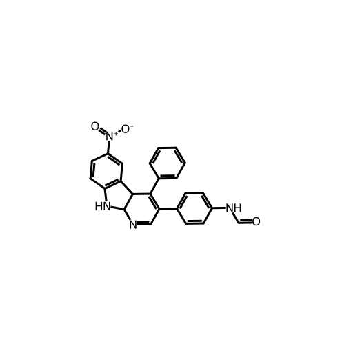 O=CNc1ccc(C2=C(c3ccccc3)C3c4cc([N+](=O)[O-])ccc4NC3N=C2)cc1